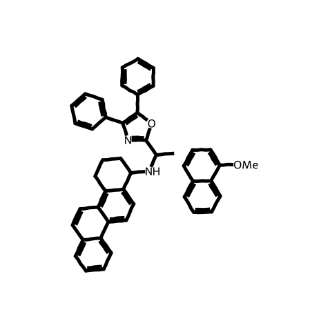 CC(NC1CCCc2c1ccc1c2ccc2ccccc21)c1nc(-c2ccccc2)c(-c2ccccc2)o1.COc1cccc2ccccc12